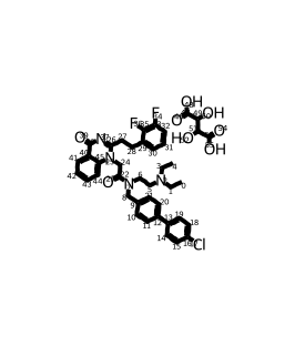 CCN(CC)CCN(Cc1ccc(-c2ccc(Cl)cc2)cc1)C(=O)Cn1c(CCc2cccc(F)c2F)nc(=O)c2ccccc21.O=C(O)C(O)C(O)C(=O)O